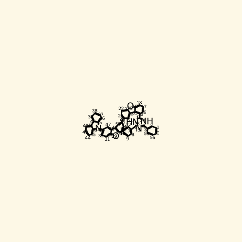 c1ccc(C2=NC(c3ccccc3)NC(c3cccc4oc5ccc(-c6ccc7oc8ccc(-n9c%10ccccc%10c%10ccccc%109)cc8c7c6)cc5c34)N2)cc1